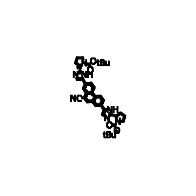 CC(C)(C)OC(=O)N1CCCC1c1ncc(-c2ccc3c(c2)cc(C#N)c2cc(-c4cnc([C@@H]5CCCN5C(=O)OC(C)(C)C)[nH]4)ccc23)[nH]1